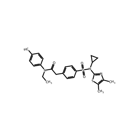 [CH]c1ccc(N(CC)C(=O)Cc2ccc(S(=O)(=O)N(c3nc(C)c(C)s3)C3CC3)cc2)cc1